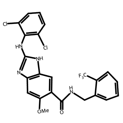 COc1cc2nc(Nc3c(Cl)cccc3Cl)[nH]c2cc1C(=O)NCc1ccccc1C(F)(F)F